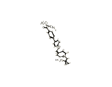 CN(C)C(=O)c1ccc(-c2ccc(OCC3CCN(CC4(C)CC4)CC3)nc2)cc1